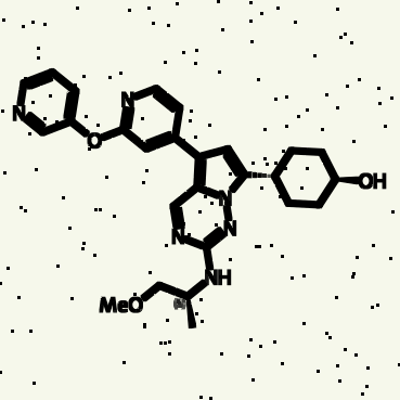 COC[C@H](C)Nc1ncc2c(-c3ccnc(Oc4cccnc4)c3)cc([C@H]3CC[C@H](O)CC3)n2n1